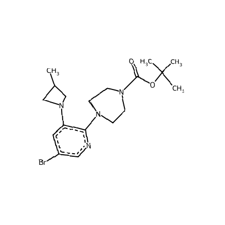 CC1CN(c2cc(Br)cnc2N2CCN(C(=O)OC(C)(C)C)CC2)C1